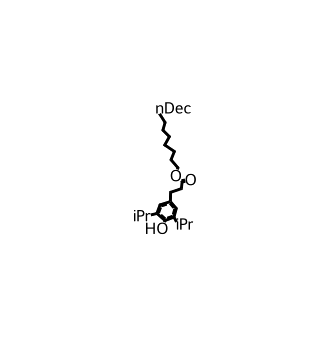 CCCCCCCCCCCCCCCCCCOC(=O)CCc1cc(C(C)C)c(O)c(C(C)C)c1